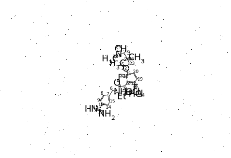 CCOC(C(=O)NCc1ccc(C(=N)N)cc1)c1c(F)ccc(OCC(C)(C)CN(C)C)c1F.Cl.Cl